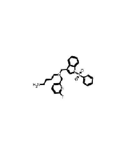 NCCCCN(Cc1cccc(F)n1)Cc1cn(S(=O)(=O)c2ccccc2)c2ccccc12